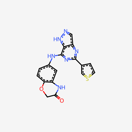 O=C1COc2ccc(Nc3nc(-c4ccsc4)nc4cn[nH]c34)cc2N1